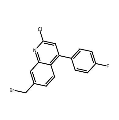 Fc1ccc(-c2cc(Cl)nc3cc(CBr)ccc23)cc1